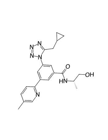 Cc1ccc(-c2cc(C(=O)N[C@@H](C)CO)cc(-n3nnnc3CC3CC3)c2)nc1